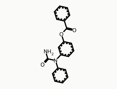 NC(=O)N(c1ccccc1)c1cccc(OC(=O)c2ccccc2)c1